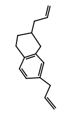 C=CCc1ccc2c(c1)CC(CC=C)CC2